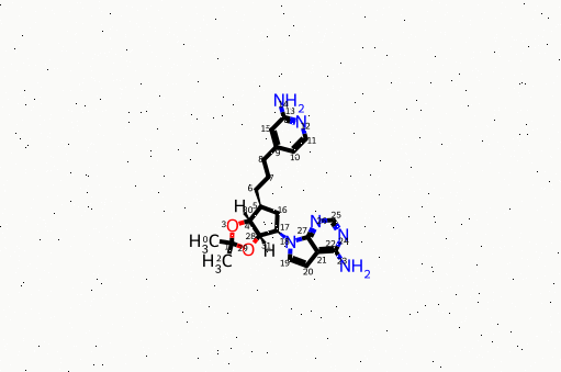 CC1(C)O[C@@H]2[C@@H](CCCc3ccnc(N)c3)C[C@@H](n3ccc4c(N)ncnc43)[C@@H]2O1